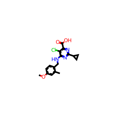 COc1ccc(CNc2nc(C3CC3)nc(C(=O)O)c2Cl)c(C)c1